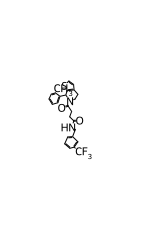 Cc1ccccc1C1c2sccc2CCN1C(=O)CCC(=O)NCc1cccc(C(F)(F)F)c1